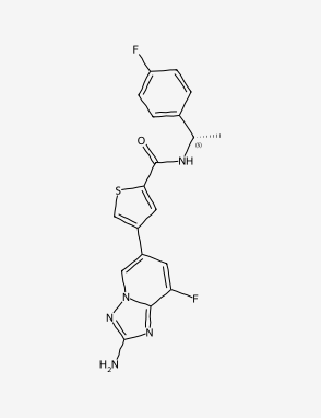 C[C@H](NC(=O)c1cc(-c2cc(F)c3nc(N)nn3c2)cs1)c1ccc(F)cc1